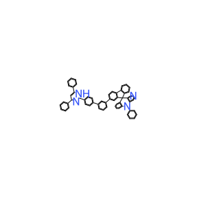 C1=C(c2ccccc2)NC(c2ccc(-c3cccc(-c4ccc5c(c4)C4(c6ccccc6-5)c5ccccc5N(c5ccccc5)c5ccncc54)c3)cc2)N=C1c1ccccc1